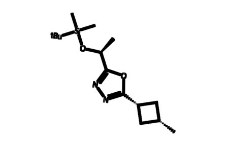 C[C@H](O[Si](C)(C)C(C)(C)C)c1nnc([C@H]2C[C@@H](C)C2)o1